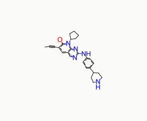 CC#Cc1cc2cnc(Nc3ccc(C4CCNCC4)cc3)nc2n(C2CCCC2)c1=O